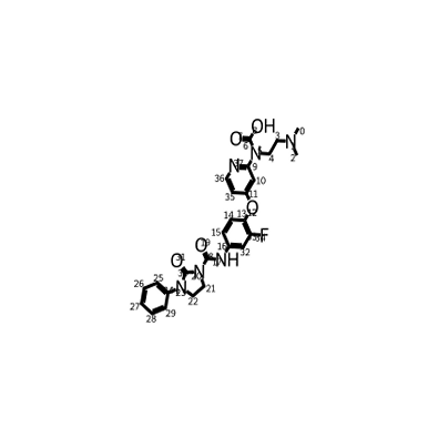 CN(C)CCN(C(=O)O)c1cc(Oc2ccc(NC(=O)N3CCN(c4ccccc4)C3=O)cc2F)ccn1